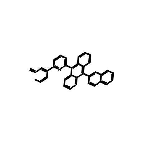 C=C/C=C(\C=C/C)c1cccc(-c2c3ccccc3c(-c3ccc4ccccc4c3)c3ccccc23)n1